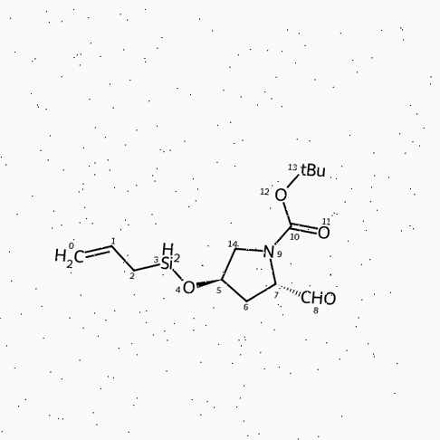 C=CC[SiH2]O[C@@H]1C[C@@H](C=O)N(C(=O)OC(C)(C)C)C1